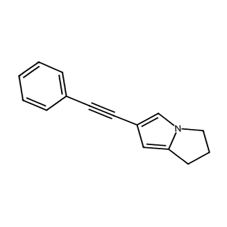 C(#Cc1cc2n(c1)CCC2)c1ccccc1